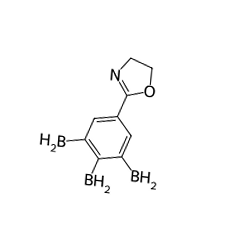 Bc1cc(C2=NCCO2)cc(B)c1B